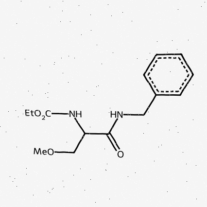 CCOC(=O)NC(COC)C(=O)NCc1ccccc1